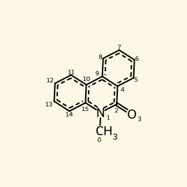 Cn1c(=O)c2ccccc2c2ccccc21